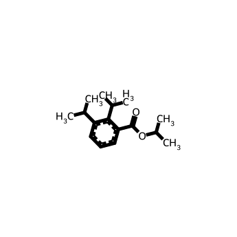 CC(C)OC(=O)c1cccc(C(C)C)c1C(C)C